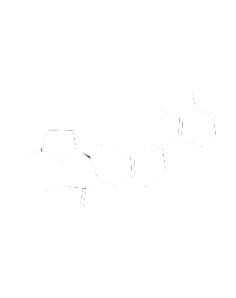 COc1nc(-c2ccnc(Cl)c2C)ccc1CN(C[C@@H]1CCC(=O)N1)C(=O)OC(C)(C)C